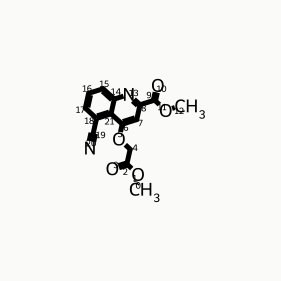 COC(=O)COc1cc(C(=O)OC)nc2cccc(C#N)c12